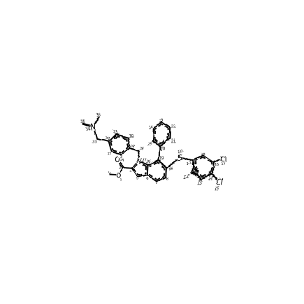 COC(=O)c1cc2ccc(Sc3ccc(Cl)c(Cl)c3)c(-c3ccccc3)c2n1Cc1ccc(CN(C)C)cc1